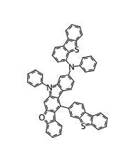 c1ccc(N(c2ccc3c4c(-c5ccc6c(c5)sc5ccccc56)c5c(cc4n(-c4ccccc4)c3c2)oc2ccccc25)c2cccc3c2sc2ccccc23)cc1